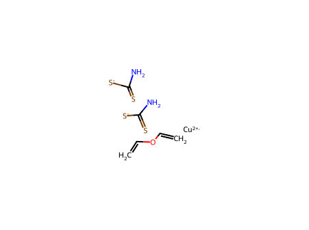 C=COC=C.NC(=S)[S-].NC(=S)[S-].[Cu+2]